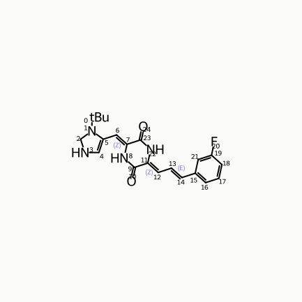 CC(C)(C)N1CNC=C1/C=c1\[nH]c(=O)/c(=C/C=C/c2cccc(F)c2)[nH]c1=O